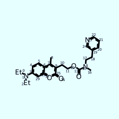 CCN(CC)c1ccc2c(C)c(CCOC(=O)N(C)CCc3cccnc3)c(=O)oc2c1